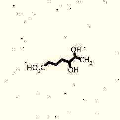 CC(O)C(O)CCCC(=O)O